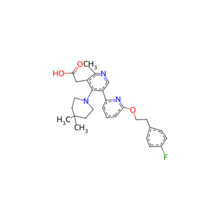 Cc1ncc(-c2cccc(OCCc3ccc(F)cc3)n2)c(N2CCC(C)(C)CC2)c1CC(=O)O